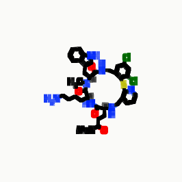 CNC(=O)CC[C@@H]1NCc2cccnc2Sc2c(Cl)cc(Cl)cc2CNC(=O)[C@H](Cc2c[nH]c3ccccc23)N(C)C(=O)[C@H](CCCCN)NC1=O